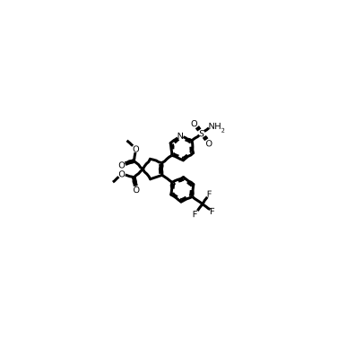 COC(=O)C1(C(=O)OC)CC(c2ccc(C(F)(F)F)cc2)=C(c2ccc(S(N)(=O)=O)nc2)C1